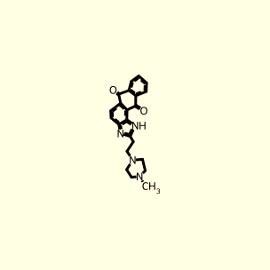 CN1CCN(CCc2nc3ccc4c(c3[nH]2)C(=O)c2ccccc2C4=O)CC1